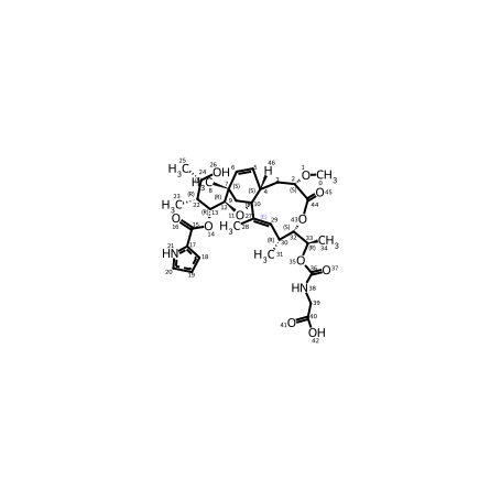 CO[C@H]1C[C@H]2C=C[C@]3(C)C[C@]2(O[C@H]3[C@H](OC(=O)c2ccc[nH]2)[C@H](C)[C@H](C)O)/C(C)=C/[C@@H](C)[C@@H]([C@@H](C)OC(=O)NCC(=O)O)OC1=O